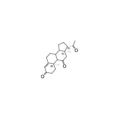 CC(=O)[C@H]1CCC2C3CCC4=CC(=O)CC[C@]4(C)C3C(=O)C[C@@]21C